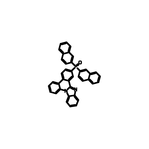 O=P(c1ccc2ccccc2c1)(c1ccc2ccccc2c1)c1ccc2c3ccccc3n3c4ccccc4nc3c2c1